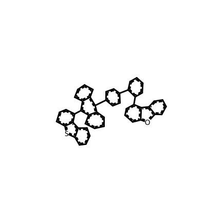 c1ccc(-c2cccc3oc4ccccc4c23)c(-c2ccc(-c3c4ccccc4c(-c4cccc5sc6ccccc6c45)c4ccccc34)cc2)c1